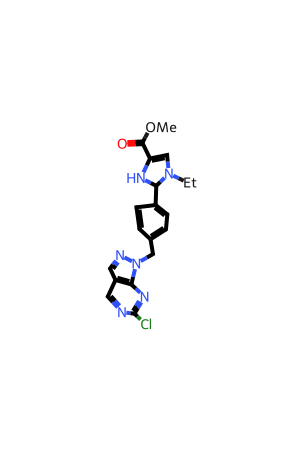 CCN1C=C(C(=O)OC)NC1c1ccc(Cn2ncc3cnc(Cl)nc32)cc1